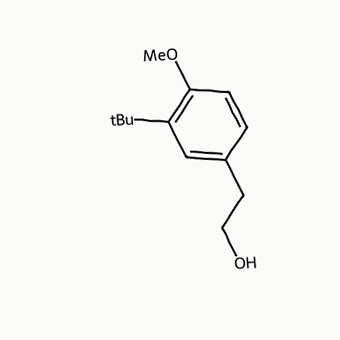 COc1ccc(CCO)cc1C(C)(C)C